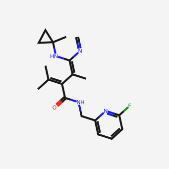 C=N/C(NC1(C)CC1)=C(\C)C(C(=O)NCc1cccc(F)n1)=C(C)C